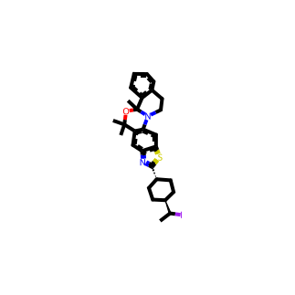 CC(I)[C@H]1CC[C@H](c2nc3cc4c(cc3s2)N2CCc3ccccc3C2(C)OC4(C)C)CC1